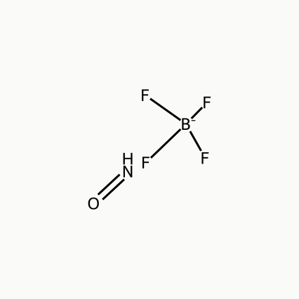 F[B-](F)(F)F.N=O